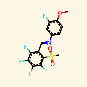 COc1ccc(/N=C/c2c(F)c(F)c(F)c(F)c2S(C)(=O)=O)cc1F